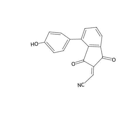 N#CC=C1C(=O)c2cccc(-c3ccc(O)cc3)c2C1=O